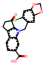 O=C(O)c1ccc2c3c(n(Cc4cc5c(cc4Cl)OCO5)c2c1)C(=O)CC3